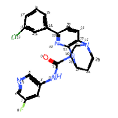 O=C(Nc1cncc(F)c1)N1c2nc(-c3cccc(Cl)c3)ccc2N2CCC1CC2